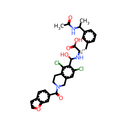 CC(=O)NC(C)c1cccc(C[C@H](NC(O)c2c(Cl)cc3c(c2Cl)CCN(C(=O)c2ccc4ccoc4c2)C3)C(=O)O)c1